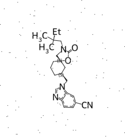 CCC(C)(C)CN1C[C@@]2(CCC[C@H](Cn3cnc4ccc(C#N)cc43)C2)OC1=O